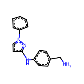 NCc1ccc(Nc2ccn(-c3ccccc3)n2)cc1